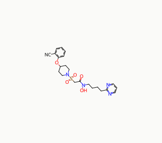 N#Cc1ccccc1OC1CCN(S(=O)(=O)CC(=O)N(O)CCCCc2ncccn2)CC1